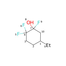 CCC1CCC(F)(F)C(O)(F)C1